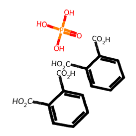 O=C(O)c1ccccc1C(=O)O.O=C(O)c1ccccc1C(=O)O.O=P(O)(O)O